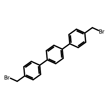 BrCc1ccc(-c2ccc(-c3ccc(CBr)cc3)cc2)cc1